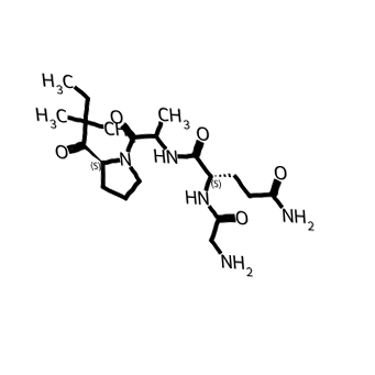 CCC(C)(C)C(=O)[C@@H]1CCCN1C(=O)C(C)NC(=O)[C@H](CCC(N)=O)NC(=O)CN